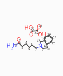 NC(=O)CCCCCN1CCc2ccccc2C1.O=C(O)C(=O)O